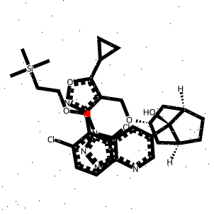 C[Si](C)(C)CCOCn1nnc2ncc([C@]3(O)[C@@H]4CC[C@H]3C[C@H](OCc3c(-c5c(Cl)cccc5Cl)noc3C3CC3)C4)cc21